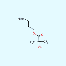 CCCCCCCCCCCCOC(=O)C(O)(C(F)(F)F)C(F)(F)F